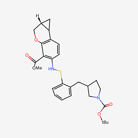 COC(=O)c1c(NSc2ccccc2CC2CCN(C(=O)OC(C)(C)C)C2)ccc2c1OC[C@@H]1CC21